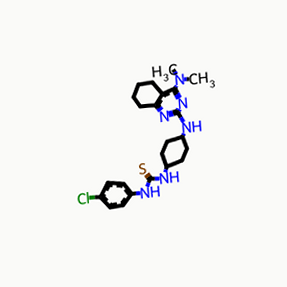 CN(C)c1nc(NC2CCC(NC(=S)Nc3ccc(Cl)cc3)CC2)nc2c1CCCC2